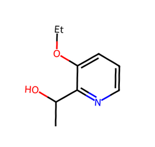 CCOc1cccnc1C(C)O